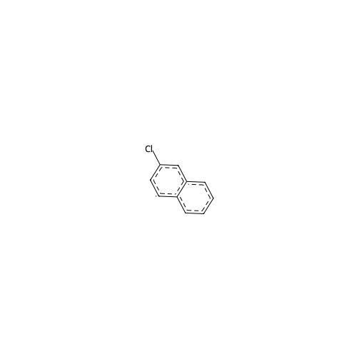 Clc1c[c]c2ccccc2c1